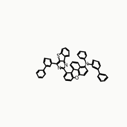 c1ccc(-c2cccc(-c3nc(-c4cccc5c4-c4cccc6c(N(c7ccccc7)c7cccc(-c8ccccc8)c7)ccc(c46)O5)nc4c3sc3ccccc34)c2)cc1